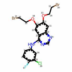 Fc1ccc(Nc2ncnc3cc(OCCBr)c(OCCBr)cc23)cc1Cl